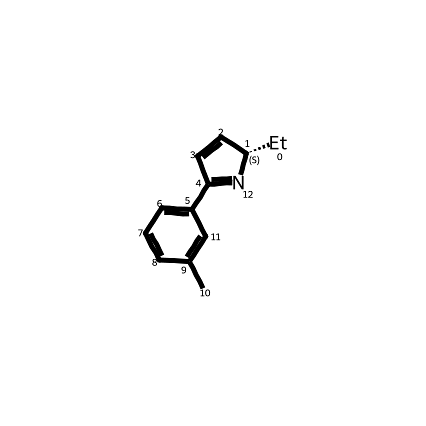 CC[C@H]1C=CC(c2cccc(C)c2)=N1